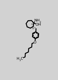 CCCCCCCOc1ccc(C[C@@H]2CCCCC[C@]2(N)O)cc1